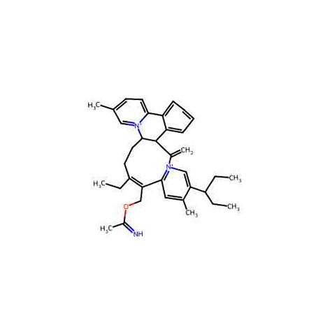 C=C1C2c3ccccc3-c3ccc(C)c[n+]3C2CC/C(CC)=C(/COC(C)=N)c2cc(C)c(C(CC)CC)c[n+]21